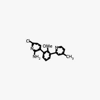 COc1c(-c2cc(C)ccn2)cccc1-c1ccc(Cl)nc1N